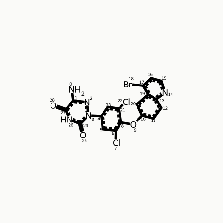 Nc1nn(-c2cc(Cl)c(Oc3ccc4nccc(Br)c4c3)c(Cl)c2)c(=O)[nH]c1=O